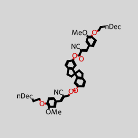 CCCCCCCCCCCCOc1ccc(/C=C(\C#N)COOc2ccc3c(c2)C2(CC3)CCc3ccc(OC(=O)/C(C#N)=C/c4ccc(OCCCCCCCCCCCC)c(OC)c4)cc32)cc1OC